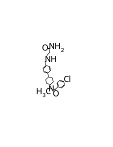 CN(C(=O)c1ccc(Cl)cc1)C1CCC(c2ccc(CNCCC(N)=O)cc2)CC1